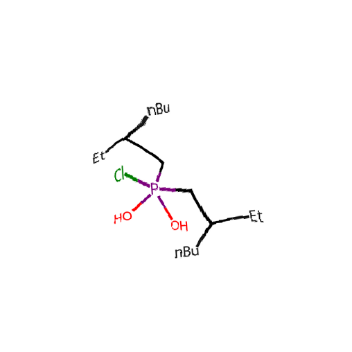 CCCCC(CC)CP(O)(O)(Cl)CC(CC)CCCC